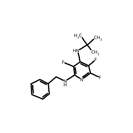 CC(C)(C)Nc1c(F)c(F)nc(NCc2ccccc2)c1F